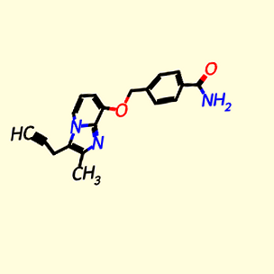 C#CCc1c(C)nc2c(OCc3ccc(C(N)=O)cc3)cccn12